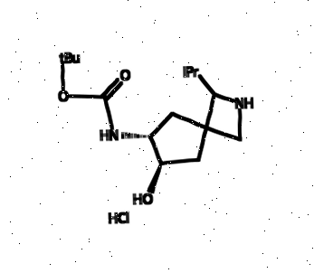 CC(C)C1NCC12C[C@@H](O)[C@H](NC(=O)OC(C)(C)C)C2.Cl